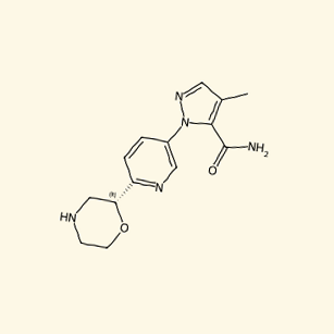 Cc1cnn(-c2ccc([C@H]3CNCCO3)nc2)c1C(N)=O